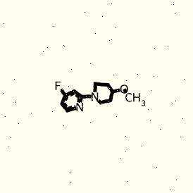 COC1CCN(c2cc(F)ccn2)CC1